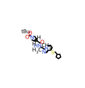 CC(C)(C)OC(=O)N1C[C@@H]2C(C(=O)NC(C)(C)c3ncc4c(SCC5CCCC5)cccn34)[C@@H]2C1